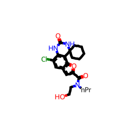 CCCN(CCO)C(=O)c1cc2cc(Cl)c3c(c2o1)C1(CCCCC1)NC(=O)N3